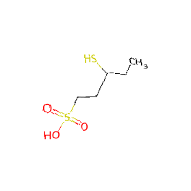 CCC(S)CCS(=O)(=O)O